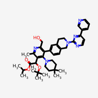 Cc1nc(CO)c(-c2ccc3c(c2)CCN(c2nccc(-c4cccnc4)n2)C3)c(N2CCC(C)(C)CC2)c1C(OC(C)(C)C)C(=O)OC(C)C